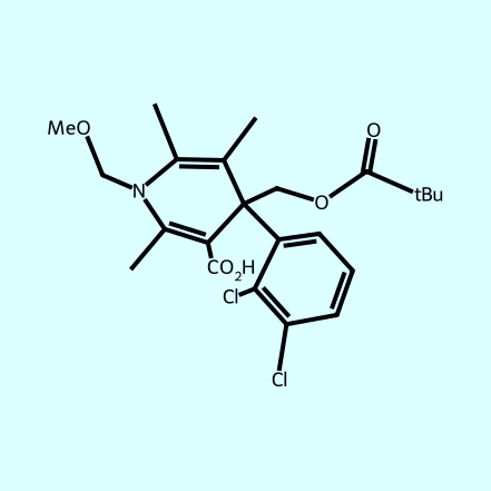 COCN1C(C)=C(C)C(COC(=O)C(C)(C)C)(c2cccc(Cl)c2Cl)C(C(=O)O)=C1C